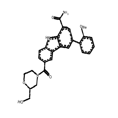 COc1ccccc1-c1cc(C(N)=O)c2[nH]c3ccc(C(=O)N4CCOC(CO)C4)cc3c2c1